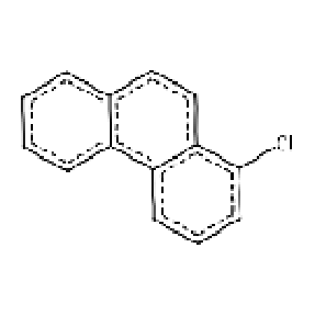 Clc1cccc2c1ccc1ccccc12